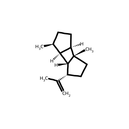 C=C(C)[C@H]1CC[C@]2(C)[C@H]1[C@@H]1[C@H]2CC[C@@H]1C